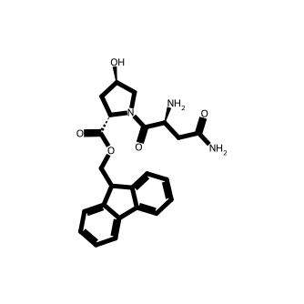 NC(=O)C[C@H](N)C(=O)N1C[C@H](O)C[C@H]1C(=O)OCC1c2ccccc2-c2ccccc21